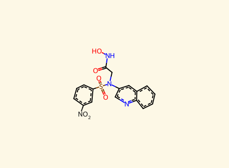 O=C(CN(c1cnc2ccccc2c1)S(=O)(=O)c1cccc([N+](=O)[O-])c1)NO